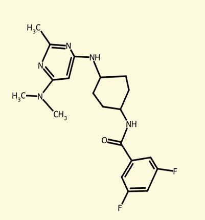 Cc1nc(NC2CCC(NC(=O)c3cc(F)cc(F)c3)CC2)cc(N(C)C)n1